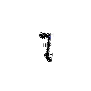 CCCCCC(OC(=O)C[N+](C)(C)CCOC(C)=O)C(O)C/C=C\CCCCCCCC(=O)NCCCCCCCCCCNC(=O)CC[N+](C)(C)CCOC(C)=O